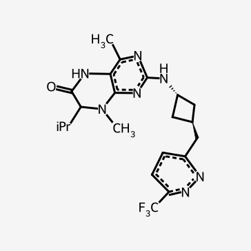 Cc1nc(N[C@H]2C[C@H](Cc3ccc(C(F)(F)F)nn3)C2)nc2c1NC(=O)C(C(C)C)N2C